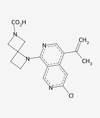 C=C(C)c1cnc(N2CCC23CN(C(=O)O)C3)c2cnc(Cl)cc12